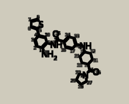 Nc1ccc(-c2cccs2)cc1NC(=O)c1ccc(NC2CCC(C(=O)N3CCCC3)CC2)cc1